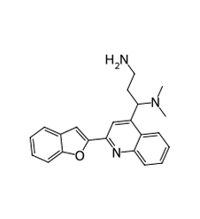 CN(C)C(CCN)c1cc(-c2cc3ccccc3o2)nc2ccccc12